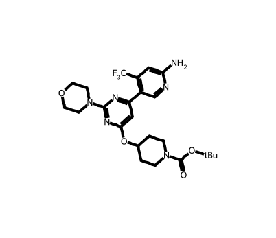 CC(C)(C)OC(=O)N1CCC(Oc2cc(-c3cnc(N)cc3C(F)(F)F)nc(N3CCOCC3)n2)CC1